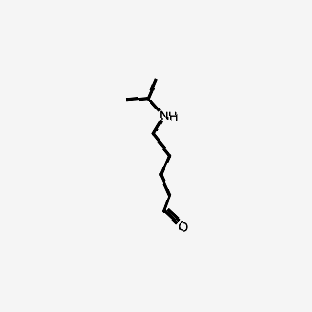 CC(C)NCCCCC=O